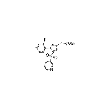 CNCc1cc(-c2ccncc2F)n(S(=O)(=O)c2cccnc2)c1